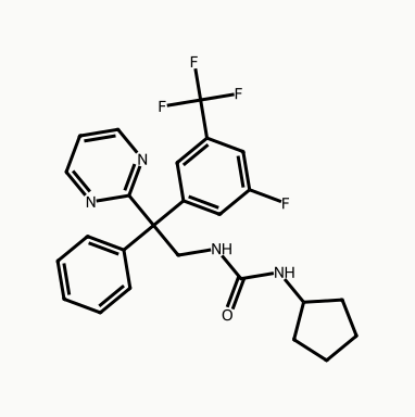 O=C(NCC(c1ccccc1)(c1cc(F)cc(C(F)(F)F)c1)c1ncccn1)NC1CCCC1